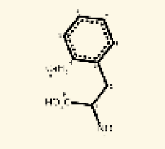 O=NC(Cc1ccccc1)C(=O)O.[CaH2]